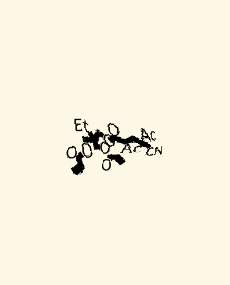 C=CC(=O)OCC(CC)(COC(=O)C=C)COC(=O)CCC(CC#N)(C(C)=O)C(C)=O